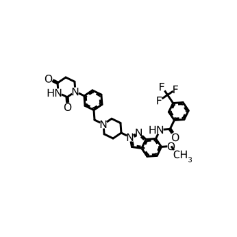 COc1ccc2cn(C3CCN(Cc4cccc(N5CCC(=O)NC5=O)c4)CC3)nc2c1NC(=O)c1cccc(C(F)(F)F)c1